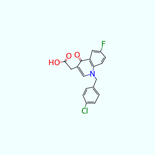 O=C(O)Cc1cn(Cc2ccc(Cl)cc2)c2ccc(F)cc2c1=O